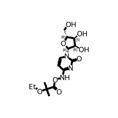 CCOC(C)(C)C(=O)ONc1ccn([C@@H]2O[C@H](CO)[C@@H](O)[C@H]2O)c(=O)n1